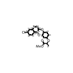 COC(=O)C(C)Oc1ccc(Oc2nnc3cc(Cl)ccc3[n+]2[O-])cc1